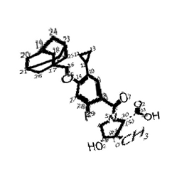 C[C@H]1[C@H](O)CN(C(=O)c2cc(C3CC3)c(OCC34CC5CC(CC(C5)C3)C4)cc2F)[C@@H]1C(=O)O